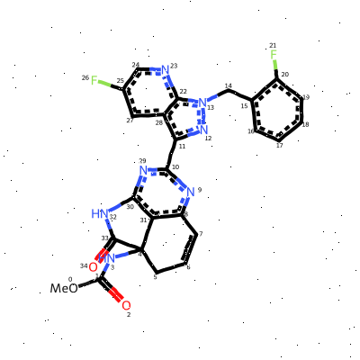 COC(=O)NC12CC=Cc3nc(-c4nn(Cc5ccccc5F)c5ncc(F)cc45)nc(c31)NC2=O